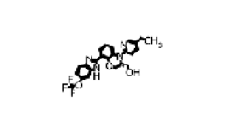 CCc1ccc(N2c3cccc(-c4nc5ccc(OC(F)(F)F)cc5[nH]4)c3OC[C@@H]2CO)nc1